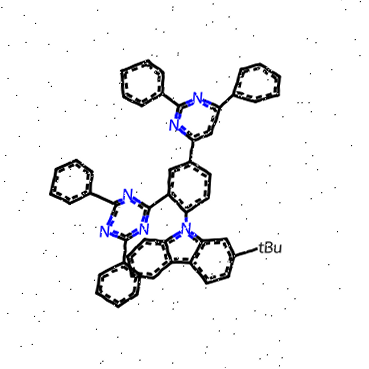 CC(C)(C)c1ccc2c3ccccc3n(-c3ccc(-c4cc(-c5ccccc5)nc(-c5ccccc5)n4)cc3-c3nc(-c4ccccc4)nc(-c4ccccc4)n3)c2c1